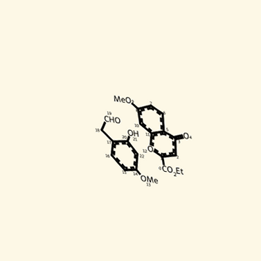 CCOC(=O)c1cc(=O)c2ccc(OC)cc2o1.COc1ccc(CC=O)c(O)c1